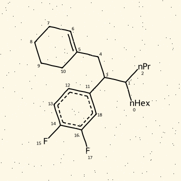 CCCCCCC(CCC)C(CC1=CCCCC1)c1ccc(F)c(F)c1